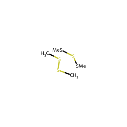 CSSC.CSSSC